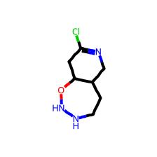 ClC1=NCC2CCNNOC2C1